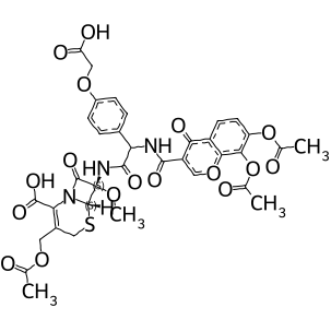 CO[C@@]1(NC(=O)C(NC(=O)c2coc3c(OC(C)=O)c(OC(C)=O)ccc3c2=O)c2ccc(OCC(=O)O)cc2)C(=O)N2C(C(=O)O)=C(COC(C)=O)CS[C@H]21